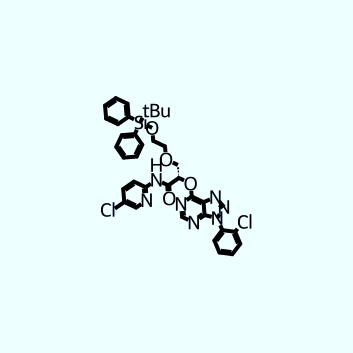 CC(C)(C)[Si](OCCOC[C@H](Oc1ncnc2c1nnn2-c1ccccc1Cl)C(=O)Nc1ccc(Cl)cn1)(c1ccccc1)c1ccccc1